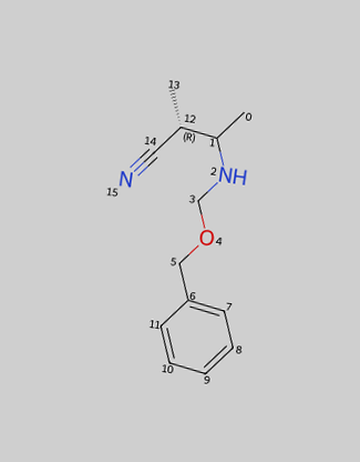 CC(NCOCc1ccccc1)[C@@H](C)C#N